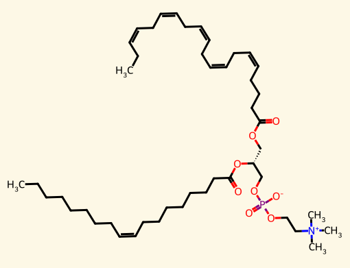 CC/C=C\C/C=C\C/C=C\C/C=C\C/C=C\CCCC(=O)OC[C@H](COP(=O)([O-])OCC[N+](C)(C)C)OC(=O)CCCCCCC/C=C\CCCCCCCC